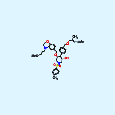 COCCCN1CCOc2ccc(CO[C@H]3CN(S(=O)(=O)c4ccc(C)cc4)C[C@@H](O)[C@@H]3c3ccc(COCC(C)CSC)cc3)cc21